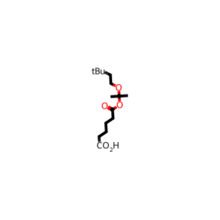 CC(C)(C)CCOC(C)(C)OC(=O)CCCCC(=O)O